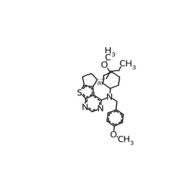 CCC(C[C@H]1CCc2sc3ncnc(N(Cc4ccc(OC)cc4)C4CCCCC4)c3c21)OC